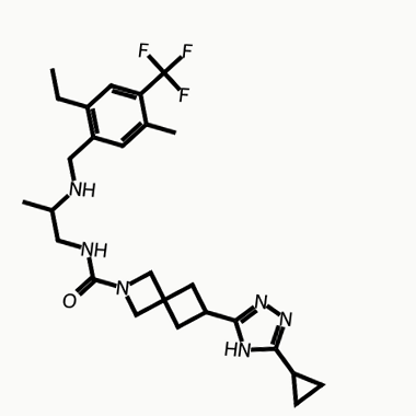 CCc1cc(C(F)(F)F)c(C)cc1CNC(C)CNC(=O)N1CC2(CC(c3nnc(C4CC4)[nH]3)C2)C1